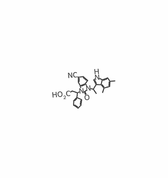 Cc1cc(C)c2c(C(C)n3c(=O)n(C(CC(=O)O)c4ccccc4)c4cc(C#N)ccc43)c[nH]c2c1